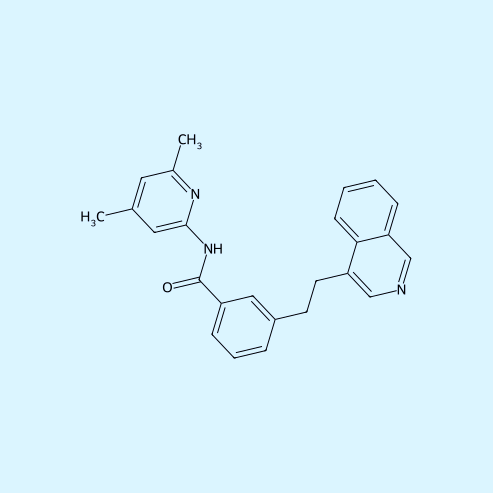 Cc1cc(C)nc(NC(=O)c2cccc(CCc3cncc4ccccc34)c2)c1